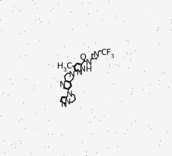 Cc1cc(C(=O)NC2CN(CC(F)(F)F)C2)nnc1N1CCc2ncc(N3CCCn4nccc43)cc2C1